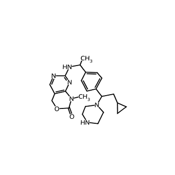 CC(Nc1ncc2c(n1)N(C)C(=O)OC2)c1ccc(C(CC2CC2)N2CCNCC2)cc1